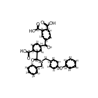 O=C(c1ccc(C(=O)O)c(C(=O)O)c1)c1ccc(C(=O)O)c(C(=O)N(Cc2ccccc2)Cc2ccc(Oc3ccccc3)cc2)c1